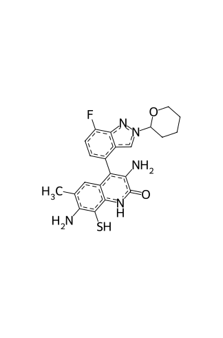 Cc1cc2c(-c3ccc(F)c4nn(C5CCCCO5)cc34)c(N)c(=O)[nH]c2c(S)c1N